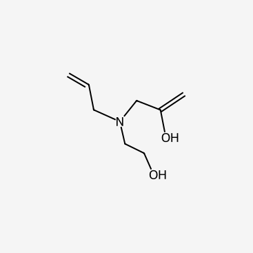 C=CCN(CCO)CC(=C)O